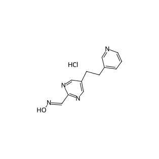 Cl.ON=Cc1ncc(CCc2cccnc2)cn1